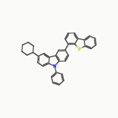 c1ccc(-n2c3ccc(-c4cccc5c4sc4ccccc45)cc3c3cc(C4CCCCC4)ccc32)cc1